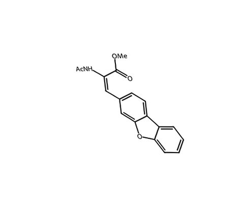 COC(=O)C(=Cc1ccc2c(c1)oc1ccccc12)NC(C)=O